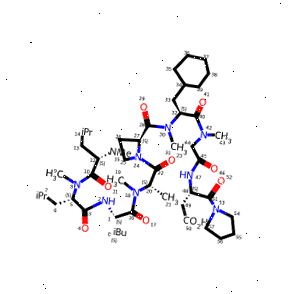 CC[C@H](C)[C@H](NC(=O)[C@H](CC(C)C)N(C)C(=O)[C@H](CC(C)C)NC)C(=O)N(C)[C@@H](C)C(=O)N1CC[C@H]1C(=O)N(C)[C@@H](CC1CCCCC1)C(=O)N(C)CC(=O)N[C@@H](CC(=O)O)C(=O)N1CCCC1